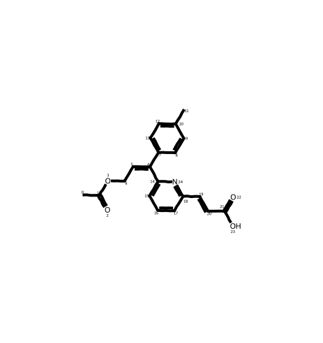 CC(=O)OCC=C(c1ccc(C)cc1)c1cccc(C=CC(=O)O)n1